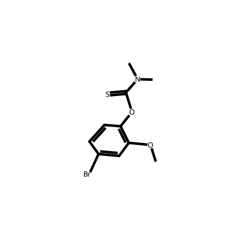 COc1cc(Br)ccc1OC(=S)N(C)C